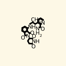 CC(CNc1cccc2c1C(=O)N(C1CCC(=O)NC1=O)C2=O)Cc1cccnc1C(N)=O